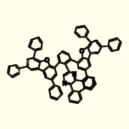 c1ccc(-c2cc(-c3ccccc3)c3oc4c(-c5cccc(-c6cc(-c7ccccc7)cc7c6oc6c(-c8ccccc8)cc(-c8ccccc8)cc67)c5-c5cnc6c7ccccc7c7ccccc7c6n5)cc(-c5ccccc5)cc4c3c2)cc1